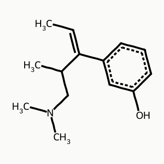 C/C=C(/c1cccc(O)c1)C(C)CN(C)C